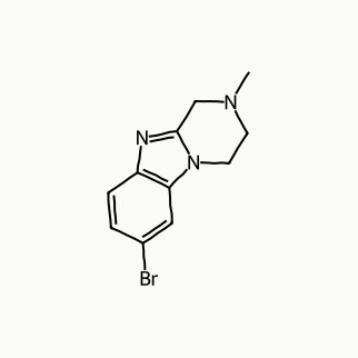 CN1CCn2c(nc3ccc(Br)cc32)C1